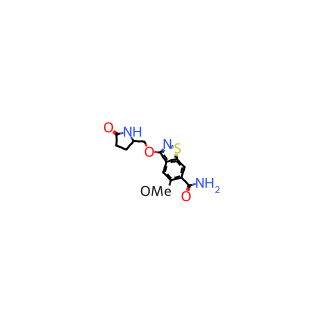 COc1cc2c(OCC3CCC(=O)N3)nsc2cc1C(N)=O